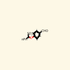 CCCC(Oc1ccc(C=O)cc1)S(=O)(=O)O